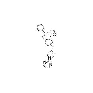 c1ccc(COc2ccc(CN3CCN(c4ncccn4)CC3)nc2C2OCCO2)cc1